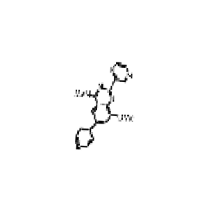 CNc1nc(-c2cnccn2)nc2c(OC)cc(-c3ccccc3)cc12